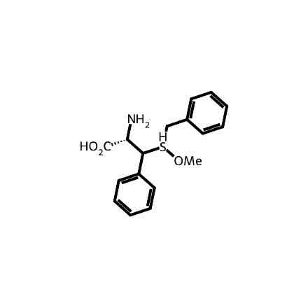 CO[SH](Cc1ccccc1)C(c1ccccc1)[C@@H](N)C(=O)O